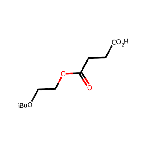 CC(C)COCCOC(=O)CCC(=O)O